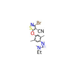 CCN(C)/C=N\c1cc(C)c(Oc2snc(Br)c2C#N)cc1C